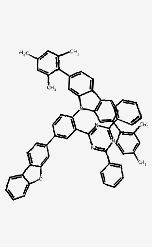 Cc1ccc(-c2ccc3c4ccc(-c5c(C)cc(C)cc5C)cc4n(-c4ccc(-c5ccc6c(c5)oc5ccccc56)cc4-c4nc(-c5ccccc5)nc(-c5ccccc5)n4)c3c2)c(C)c1